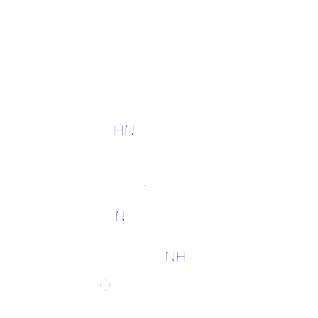 CCCNc1cccc2[nH]c(=O)n(C)c12